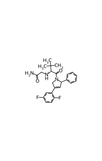 CC(C)(C)[C@H](NCC(N)=O)C(=O)N1CC(c2cc(F)ccc2F)=CC1c1ccccc1